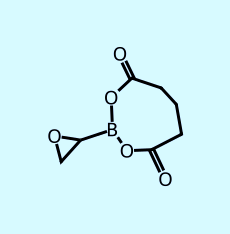 O=C1CCCC(=O)OB(C2CO2)O1